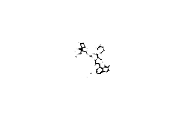 CCc1c(F)ccc2cc(OCOC)cc(-c3ncc4c(N5CCC[C@@](C)(O)C5)nc(OCC5(CN(C)C)CC56CCC6)nc4c3F)c12